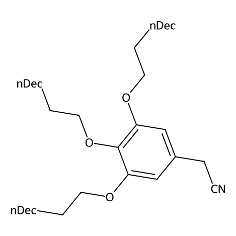 CCCCCCCCCCCCOc1cc(CC#N)cc(OCCCCCCCCCCCC)c1OCCCCCCCCCCCC